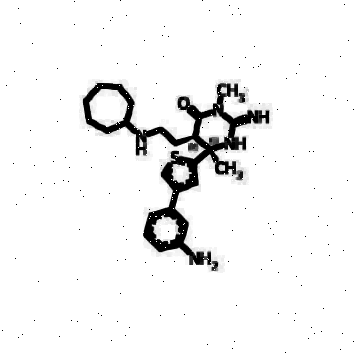 CN1C(=N)N[C@](C)(c2cc(-c3cccc(N)c3)cs2)[C@@H](CCNC2CCCCCC2)C1=O